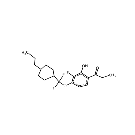 CCCC1CCC(C(F)(F)Oc2ccc(C(=O)CC)c(O)c2F)CC1